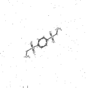 CCS(=O)(=O)c1ccc(S(=O)(=O)CC)cc1